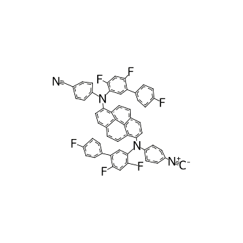 [C-]#[N+]c1ccc(N(c2cc(-c3ccc(F)cc3)c(F)cc2F)c2ccc3ccc4c(N(c5ccc(C#N)cc5)c5cc(-c6ccc(F)cc6)c(F)cc5F)ccc5ccc2c3c54)cc1